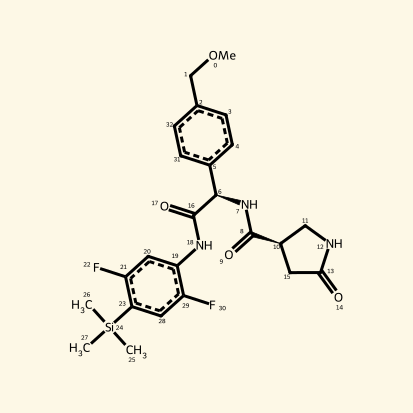 COCc1ccc([C@@H](NC(=O)[C@H]2CNC(=O)C2)C(=O)Nc2cc(F)c([Si](C)(C)C)cc2F)cc1